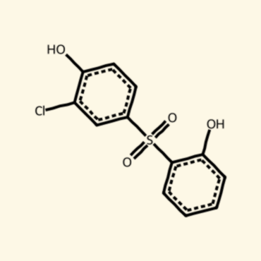 O=S(=O)(c1ccc(O)c(Cl)c1)c1ccccc1O